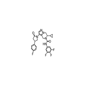 O=C1CC(c2ccc(F)cc2)CN1c1cnn2c1CN(C(=O)Nc1cc(F)c(F)c(F)c1)C(C1CC1)C2